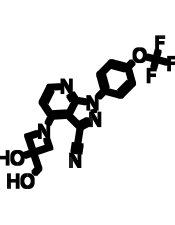 N#Cc1nn(-c2ccc(OC(F)(F)F)cc2)c2nccc(N3CC(O)(CO)C3)c12